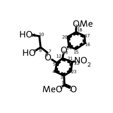 COC(=O)c1cc(OCC(O)CO)c(Oc2cccc(OC)c2)c([N+](=O)[O-])c1